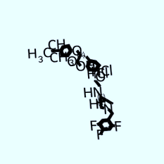 CC(C)(C)c1ccc(O[C@H](Cc2ccc(OCCN[C@H]3C4CN(Cc5cc(F)c(F)cc5F)C[C@@H]43)cc2)C(=O)O)cc1.Cl.Cl